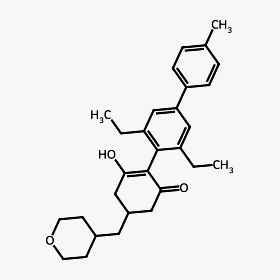 CCc1cc(-c2ccc(C)cc2)cc(CC)c1C1=C(O)CC(CC2CCOCC2)CC1=O